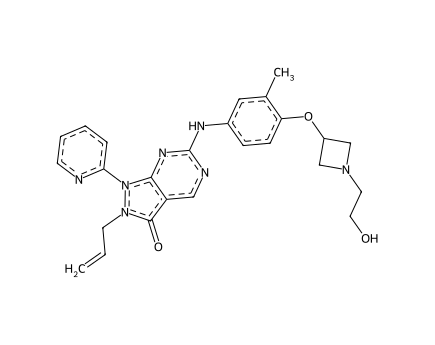 C=CCn1c(=O)c2cnc(Nc3ccc(OC4CN(CCO)C4)c(C)c3)nc2n1-c1ccccn1